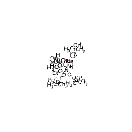 C=C(OCC)c1c([C@H]2C[C@H]3CC[C@@H](C2)N3C(=O)OC(C)(C)C)nc2c(-c3cnc(C(C)(C)O)c(F)c3)cnn2c1N(COCC[Si](C)(C)C)COCC[Si](C)(C)C